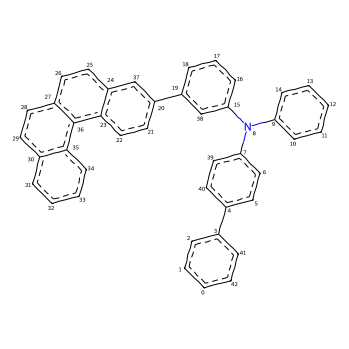 c1ccc(-c2ccc(N(c3ccccc3)c3cccc(-c4ccc5c(ccc6ccc7ccccc7c65)c4)c3)cc2)cc1